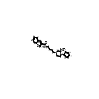 O=C(NCCCCN1CCN(c2ccccc2O)CC1)C1=Cc2ccccc2SC1